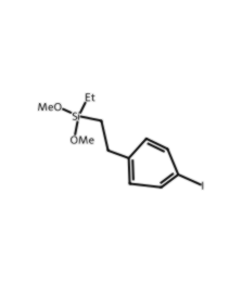 CC[Si](CCc1ccc(I)cc1)(OC)OC